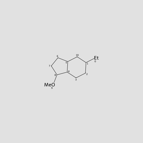 CCC1CCC2C(CCC2OC)C1